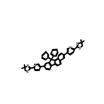 CC1(C)CSC(c2ccc(-c3ccc4c(c3)C(c3ccccc3)(c3ccccc3)c3c-4ccc4cc(-c5ccc(C6=NC(C)(C)CS6)nc5)ccc34)cn2)=N1